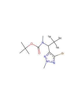 [2H]C([2H])([2H])C(c1nn(C)nc1Br)N(C)C(=O)OC(C)(C)C